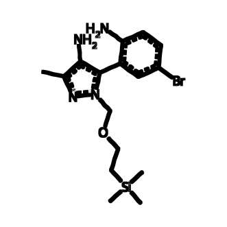 Cc1nn(COCC[Si](C)(C)C)c(-c2cc(Br)ccc2N)c1N